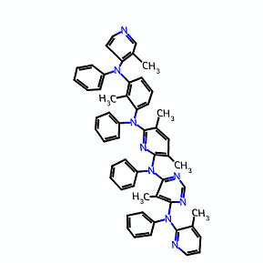 Cc1cnccc1N(c1ccccc1)c1cccc(N(c2ccccc2)c2nc(N(c3ccccc3)c3ncnc(N(c4ccccc4)c4ncccc4C)c3C)c(C)cc2C)c1C